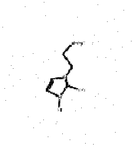 CCCCCCCCCN1C=CN(CC)C1CCC